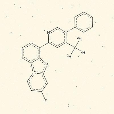 [2H]C([2H])([2H])c1cc(-c2cccc3c2sc2cc(F)ccc23)ncc1-c1ccccc1